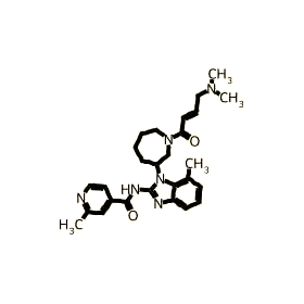 Cc1cc(C(=O)Nc2nc3cccc(C)c3n2C2CCCCN(C(=O)C=CCN(C)C)C2)ccn1